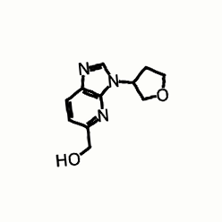 OCc1ccc2ncn(C3CCOC3)c2n1